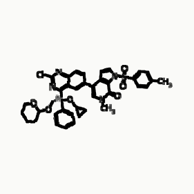 Cc1ccc(S(=O)(=O)n2ccc3c(-c4ccc5nc(Cl)nc([C@@](COC6CCCCO6)(OC6CC6)c6ccccc6)c5c4)cn(C)c(=O)c32)cc1